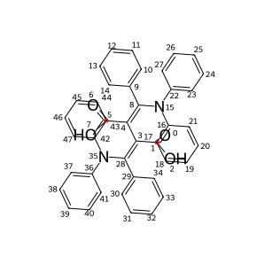 O=C(O)C(C(C(=O)O)=C(c1ccccc1)N(c1ccccc1)c1ccccc1)=C(c1ccccc1)N(c1ccccc1)c1ccccc1